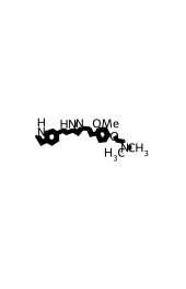 COc1cc(OCCN(C)C)ccc1C=Cc1cc(C=Cc2ccc3cc[nH]c3c2)[nH]n1